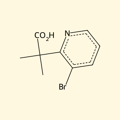 CC(C)(C(=O)O)c1ncccc1Br